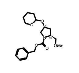 COC[C@@H]1C[C@H](OC2CCCCO2)CN1C(=O)OCc1ccccc1